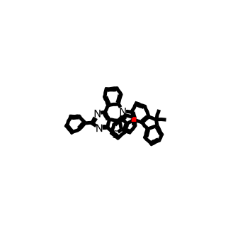 CC1(C)c2ccccc2-c2c1ccc1c2c2ccccc2n1-c1ccccc1-c1nc(-c2ccccc2)nc2sc3ccccc3c12